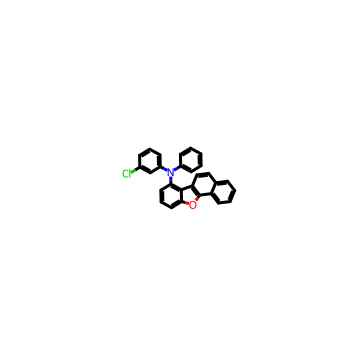 Clc1cccc(N(c2ccccc2)c2cccc3oc4c5ccccc5ccc4c23)c1